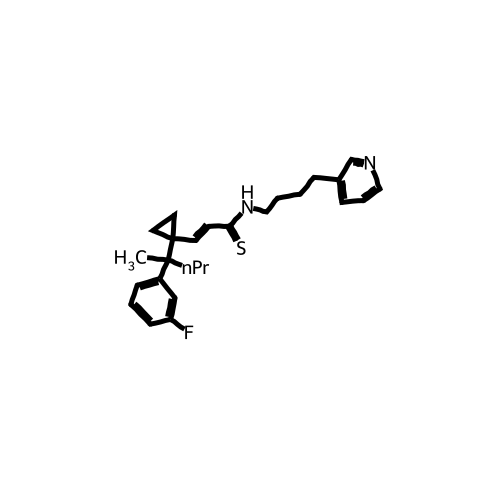 CCCC(C)(c1cccc(F)c1)C1(/C=C/C(=S)NCCCCc2cccnc2)CC1